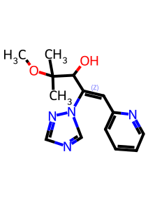 COC(C)(C)C(O)/C(=C/c1ccccn1)n1cncn1